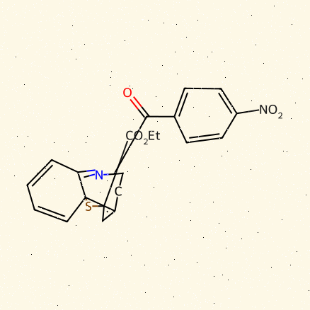 CCOC(=O)C1C=C2CCC(C(=O)c3ccc([N+](=O)[O-])cc3)N=C3C=CC=CC23S1